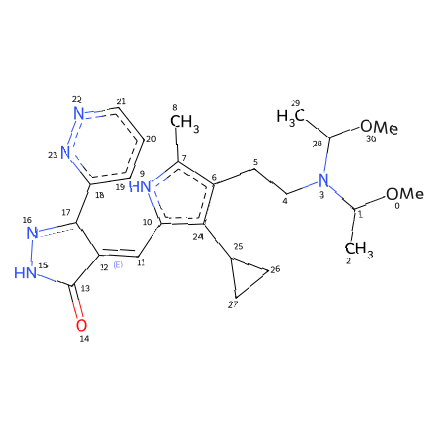 COC(C)N(CCc1c(C)[nH]c(/C=C2/C(=O)NN=C2c2cccnn2)c1C1CC1)C(C)OC